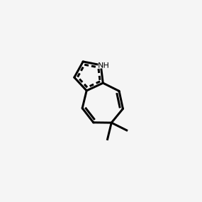 CC1(C)C=Cc2cc[nH]c2C=C1